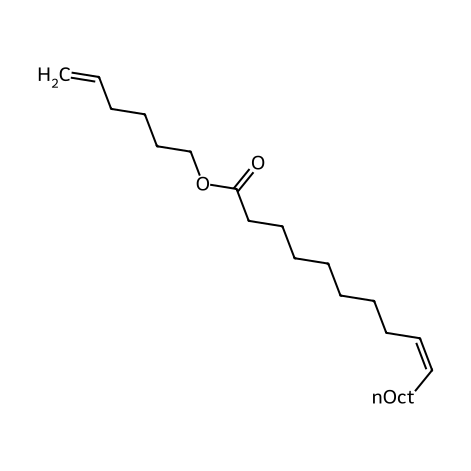 C=CCCCCOC(=O)CCCCCCC/C=C\CCCCCCCC